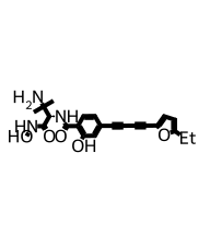 CCc1ccc(C#CC#Cc2ccc(C(=O)N[C@H](C(=O)NO)C(C)(C)N)c(O)c2)o1